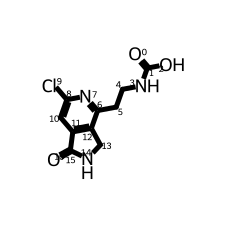 O=C(O)NCCc1nc(Cl)cc2c1CNC2=O